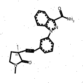 CN1CC[C@@](C)(C#Cc2cccc(-n3nc(C(N)=O)c4ccccc43)c2)C1=O